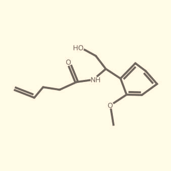 C=CCCC(=O)NC(CO)c1ccccc1OC